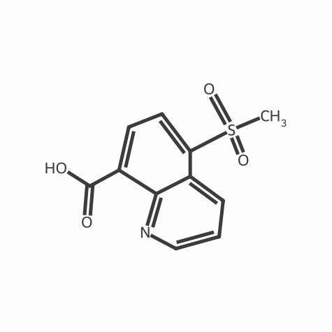 CS(=O)(=O)c1ccc(C(=O)O)c2ncccc12